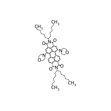 CCCCCCC(CCCCCC)N1C(=O)c2ccc3c4c(N5CCOCC5)cc5c6c(cc(N7CCOCC7)c(c7ccc(c2c37)C1=O)c64)C(=O)N(C(CCCCCC)CCCCCC)C5=O